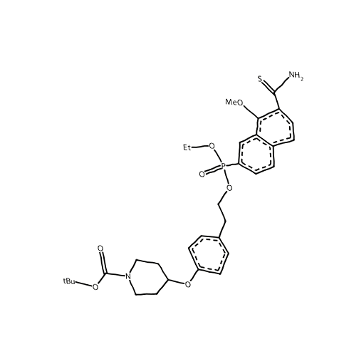 CCOP(=O)(OCCc1ccc(OC2CCN(C(=O)OC(C)(C)C)CC2)cc1)c1ccc2ccc(C(N)=S)c(OC)c2c1